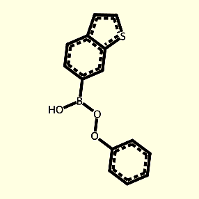 OB(OOc1ccccc1)c1ccc2ccsc2c1